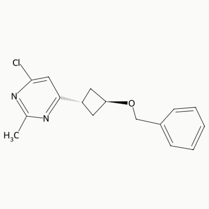 Cc1nc(Cl)cc([C@H]2C[C@H](OCc3ccccc3)C2)n1